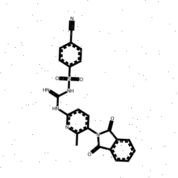 Cc1nc(NC(=N)NS(=O)(=O)c2ccc(C#N)cc2)ccc1N1C(=O)c2ccccc2C1=O